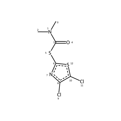 CN(C)C(=O)Sc1nc(Cl)c(Cl)s1